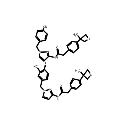 CC1(c2ccc(CC(=O)Nc3ccn(Cc4ccc(C#N)cc4)n3)cc2)COC1.CC1(c2ccc(CC(=O)Nc3ccn(Cc4ccc(F)c(C#N)c4)n3)cc2)COC1